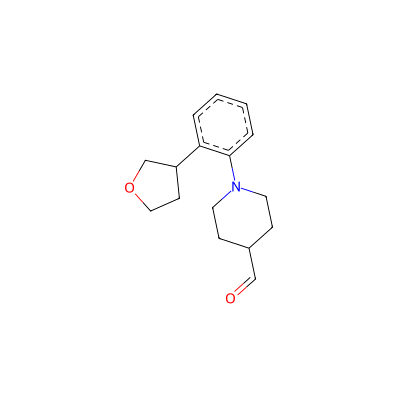 O=CC1CCN(c2ccccc2C2CCOC2)CC1